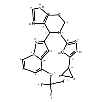 FC(F)(F)Oc1cccn2nc(C3c4nc[nH]c4CCN3c3nnc(C4CC4)o3)cc12